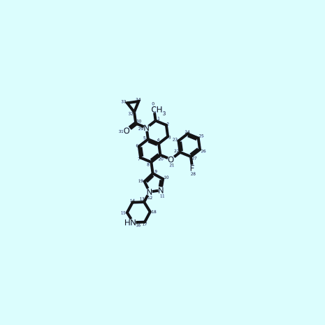 CC1CCc2c(ccc(-c3cnn(C4CCNCC4)c3)c2Oc2ccccc2F)N1C(=O)C1CC1